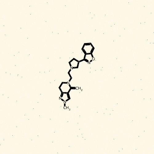 C=C1c2cn(C)nc2CCN1CCN1CCC(c2noc3ccccc23)C1